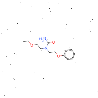 CCOCCN(CCOc1[c]cccc1)C(N)=O